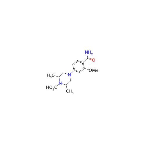 COc1cc(N2CC(C)N(C(=O)O)C(C)C2)ccc1C(N)=O